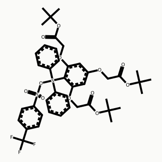 CC(C)(C)OC(=O)COc1cc(OCC(=O)OC(C)(C)C)c(S(OS(=O)(=O)c2ccc(C(F)(F)F)cc2)(c2ccccc2)c2ccccc2)c(OCC(=O)OC(C)(C)C)c1